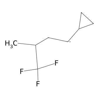 CC(C[CH]C1CC1)C(F)(F)F